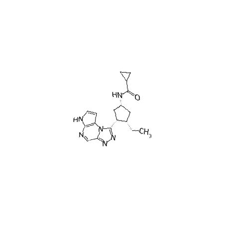 CC[C@H]1C[C@@H](NC(=O)C2CC2)C[C@H]1c1nnc2cnc3[nH]ccc3n12